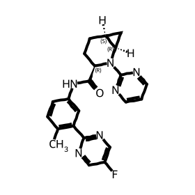 Cc1ccc(NC(=O)[C@H]2CC[C@H]3C[C@H]3N2c2ncccn2)cc1-c1ncc(F)cn1